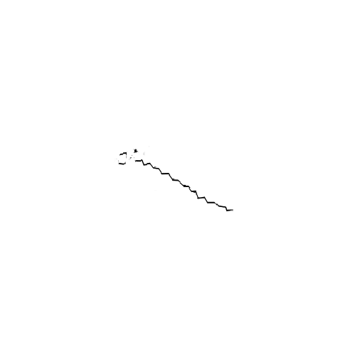 Br.CCCCCCCCCCCCCCCCCCCCCCN(N1CCNCC1)C(C)(O)O